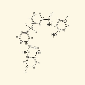 Cc1ccc(O)c(NC(=O)c2cccc(C(C)(C)c3cccc(C(=O)Nc4cc(C)ccc4O)c3)c2)c1